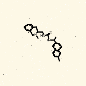 Cc1ccc2cc(C(C)NC(=O)NCC3Cc4ccccc4CN3C)ccc2c1